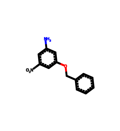 Nc1cc(OCc2ccccc2)cc([N+](=O)[O-])c1